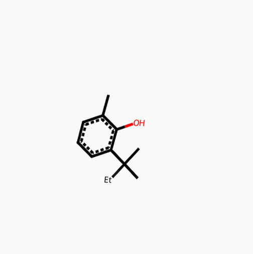 CCC(C)(C)c1cccc(C)c1O